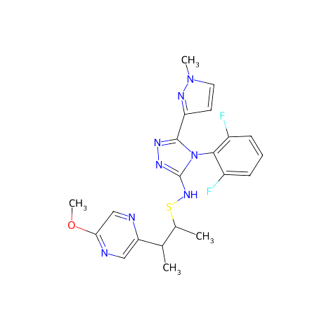 COc1cnc(C(C)C(C)SNc2nnc(-c3ccn(C)n3)n2-c2c(F)cccc2F)cn1